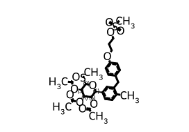 CS[C@H]1O[C@@H](c2ccc(C)c(Cc3ccc(OCCCOS(C)(=O)=O)cc3)c2)[C@H](OC(C)=O)[C@@H](OC(C)=O)[C@@H]1OC(C)=O